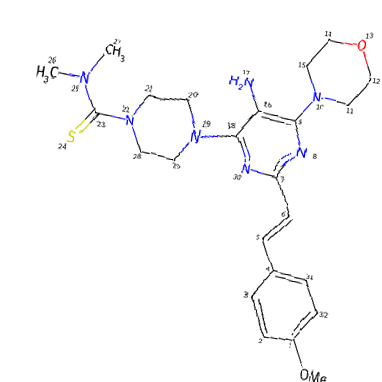 COc1ccc(C=Cc2nc(N3CCOCC3)c(N)c(N3CCN(C(=S)N(C)C)CC3)n2)cc1